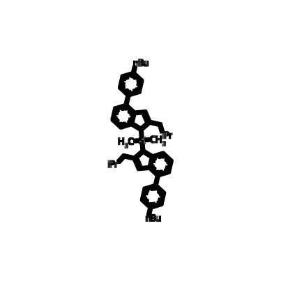 CCCCc1ccc(-c2cccc3c2C=C(CC(C)C)C3[Si](C)(C)C2C(CC(C)C)=Cc3c(-c4ccc(CCCC)cc4)cccc32)cc1